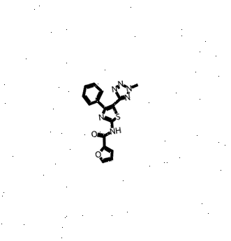 Cn1nnc(-c2sc(NC(=O)c3ccco3)nc2-c2ccccc2)n1